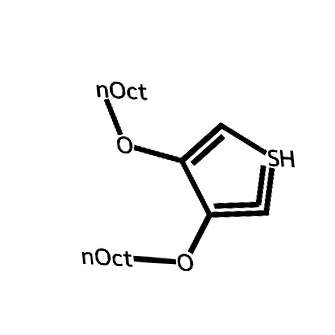 CCCCCCCCOC1=C=[SH]C=C1OCCCCCCCC